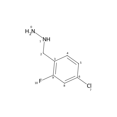 NNCc1ccc(Cl)cc1F